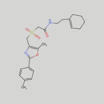 Cc1ccc(-c2nc(CS(=O)(=O)CC(=O)NCCC3=CCCCC3)c(C)o2)cc1